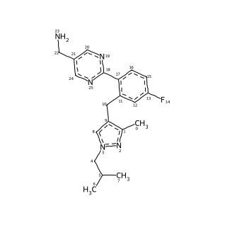 Cc1nn(CC(C)C)cc1Cc1cc(F)ccc1-c1ncc(CN)cn1